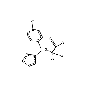 Clc1ccc([I+]c2cccs2)cc1.O=C([O-])C(Cl)(Cl)Cl